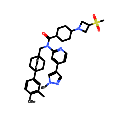 COc1ccc(C23CCC(CN(C(=O)C4CCC(N5CC(S(C)(=O)=O)C5)CC4)c4cc(-c5cnn(C(C)C)c5)ccn4)(CC2)CC3)cc1C